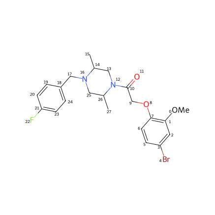 COc1cc(Br)ccc1OCC(=O)N1CC(C)N(Cc2ccc(F)cc2)CC1C